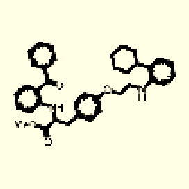 COC(=O)C(Cc1ccc(OCCNc2ccccc2C2CCCCC2)cc1)Nc1ccccc1C(=O)c1ccccc1